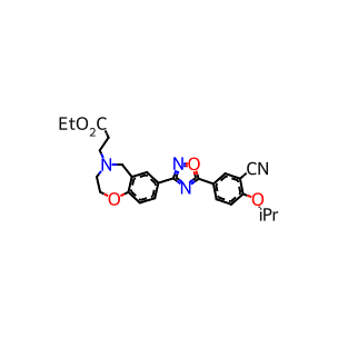 CCOC(=O)CCN1CCOc2ccc(-c3noc(-c4ccc(OC(C)C)c(C#N)c4)n3)cc2C1